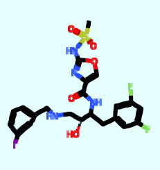 CS(=O)(=O)Nc1nc(C(=O)NC(Cc2cc(F)cc(F)c2)[C@H](O)CNCc2cccc(I)c2)co1